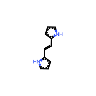 C(=Cc1ccc[nH]1)c1ccc[nH]1